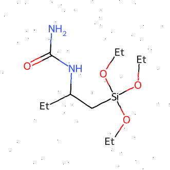 CCO[Si](CC(CC)NC(N)=O)(OCC)OCC